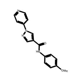 COc1ccc(NC(=O)c2cnn(-c3ccncc3)c2)cc1